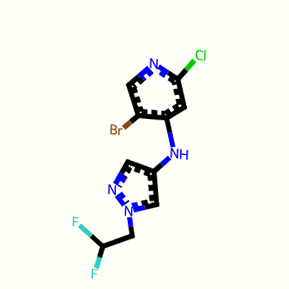 FC(F)Cn1cc(Nc2cc(Cl)ncc2Br)cn1